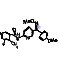 CO/N=C(/c1ccc(OC)cc1)c1ccc(NC(=O)c2cncc(F)c2C)nc1